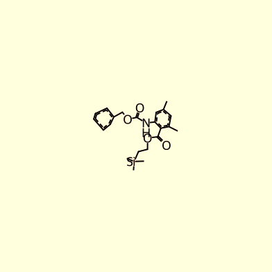 Cc1cc(C)c(C(=O)OCC[Si](C)(C)C)c(NC(=O)OCc2ccccc2)c1